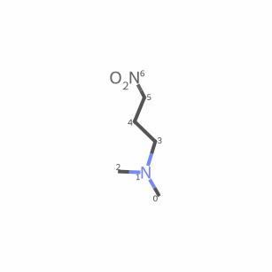 CN(C)CCC[N+](=O)[O-]